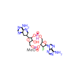 COP1(=O)OCC2OC(C3C=Nc4c(N)ncnc4C3)C(O[PH](=O)OCC3O[C@@H](n4cnc5c(N)ncnc54)C(F)C3O1)C2O